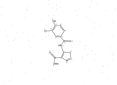 COC(=O)c1ncsc1NC(=O)c1ccc(O)c(Cl)c1